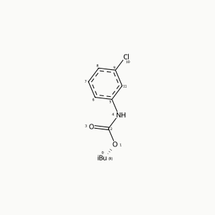 CC[C@@H](C)OC(=O)Nc1cccc(Cl)c1